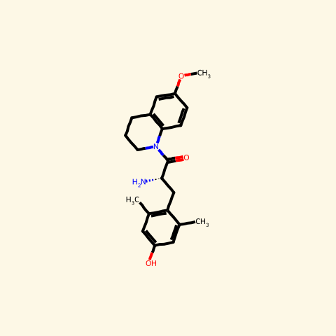 COc1ccc2c(c1)CCCN2C(=O)[C@@H](N)Cc1c(C)cc(O)cc1C